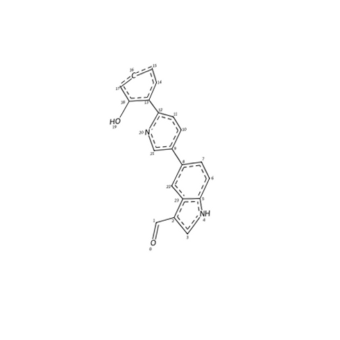 O=Cc1c[nH]c2ccc(-c3ccc(-c4ccccc4O)nc3)cc12